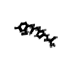 Cc1ccc(NC(=O)Nc2nc(CNC(N)=O)cs2)c(OCC(C)C)c1